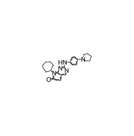 O=c1ccc2cnc(Nc3ccc(N4CCCCC4)cc3)nc2n1C1CCCCCC1